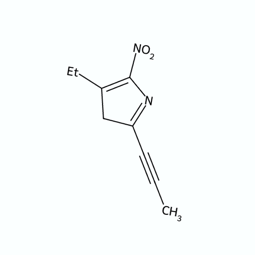 CC#CC1=NC([N+](=O)[O-])=C(CC)C1